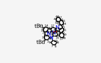 CC(C)(C)c1cc(N(c2ccccc2)c2ccccc2)c2c(c1)c1cc(C(C)(C)C)cc3c4cc5c(nc4n2c31)c1c2ccccc2cc2c3ccc4ccccc4c3n5c21